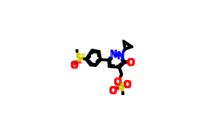 C[S+]([O-])c1ccc(-c2cc(COS(C)(=O)=O)c(=O)n(C3CC3)n2)cc1